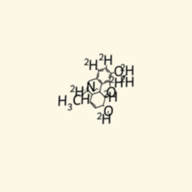 [2H]OC1C=C[C@H]2[C@@]3([2H])Cc4c([2H])c([2H])c(OC([2H])([2H])[2H])c5c4[C@@]2(CCN3C)C1([2H])O5